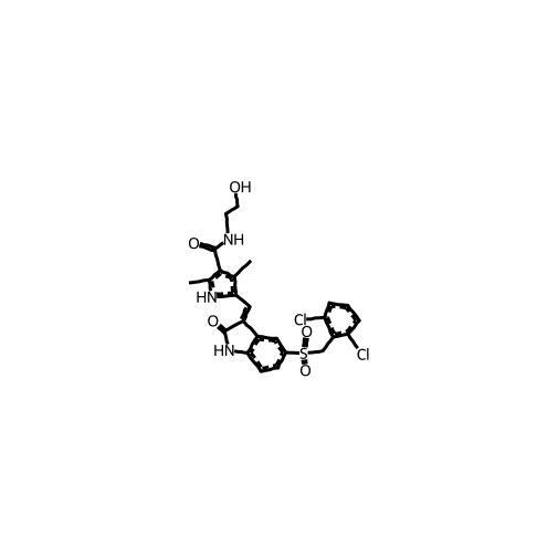 Cc1[nH]c(/C=C2\C(=O)Nc3ccc(S(=O)(=O)Cc4c(Cl)cccc4Cl)cc32)c(C)c1C(=O)NCCO